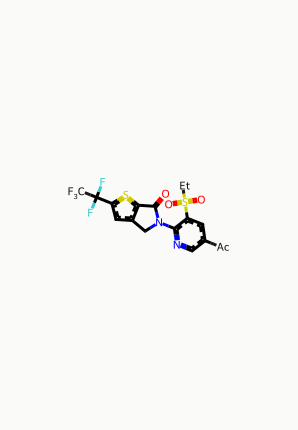 CCS(=O)(=O)c1cc(C(C)=O)cnc1N1Cc2cc(C(F)(F)C(F)(F)F)sc2C1=O